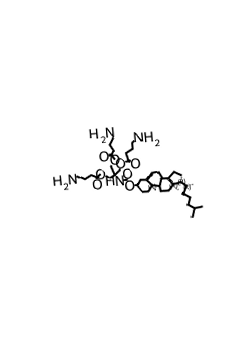 CC(C)CCC[C@@H](C)[C@H]1CCC2C3CC=C4CC(OC(=O)NC(COC(=O)CCCN)(COC(=O)CCCN)COC(=O)CCCN)CC[C@]4(C)C3CC[C@@]21C